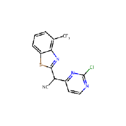 N#CC(c1ccnc(Cl)n1)c1nc2c(C(F)(F)F)cccc2s1